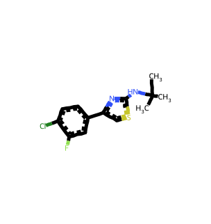 CC(C)(C)Nc1nc(-c2ccc(Cl)c(F)c2)cs1